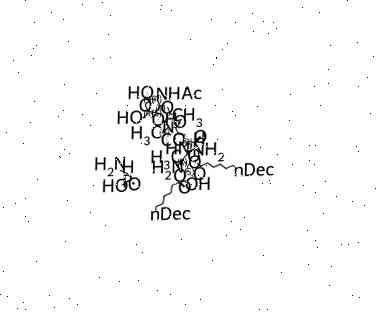 CCCCCCCCCCCCCCCC(=O)OC([C@H](CO)OC(=O)CCCCCCCCCCCCCCC)[C@@](C)(N)C(=O)N[C@H](CCC(=O)N(CC(C)O[C@H]1[C@H](O)[C@@H](CO)O[C@H](O)[C@@H]1NC(C)=O)[C@@H](C)C(=O)O)C(N)=O.NCC[PH](=O)O